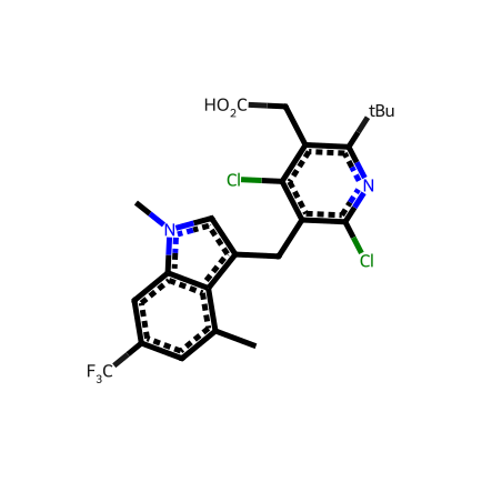 Cc1cc(C(F)(F)F)cc2c1c(Cc1c(Cl)nc(C(C)(C)C)c(CC(=O)O)c1Cl)cn2C